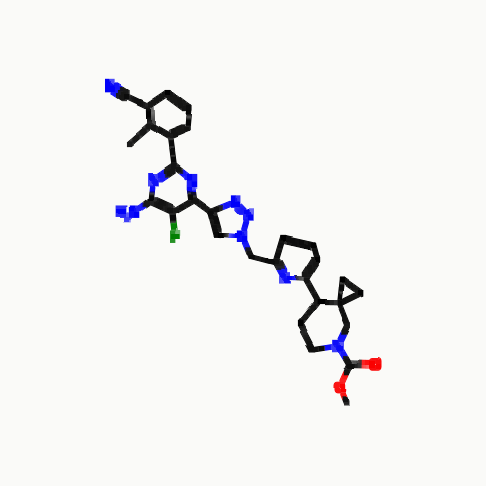 COC(=O)N1CCC(c2cccc(Cn3cc(-c4nc(-c5cccc(C#N)c5C)nc(N)c4F)nn3)n2)C2(CC2)C1